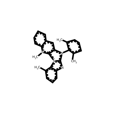 Cc1cccc(C)c1-n1c2cc3ccccc3[n+](C)c2n2c3c(C)cccc3nc12